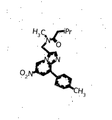 Cc1ccc(-c2cc([N+](=O)[O-])cn3c(CN(C)C(=O)CC(C)C)cnc23)cc1